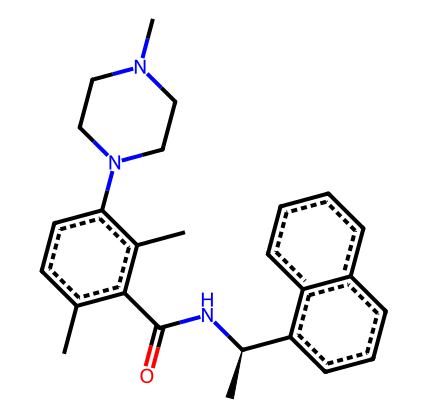 Cc1ccc(N2CCN(C)CC2)c(C)c1C(=O)N[C@H](C)c1cccc2ccccc12